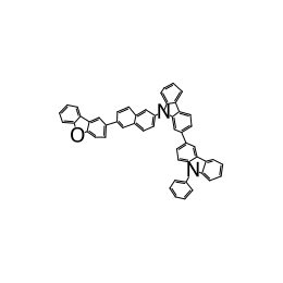 c1ccc(-n2c3ccccc3c3cc(-c4ccc5c6ccccc6n(-c6ccc7cc(-c8ccc9oc%10ccccc%10c9c8)ccc7c6)c5c4)ccc32)cc1